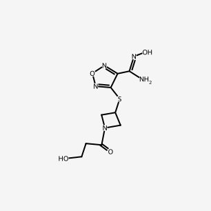 N/C(=N\O)c1nonc1SC1CN(C(=O)CCO)C1